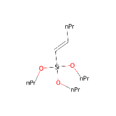 CCCC=C[Si](OCCC)(OCCC)OCCC